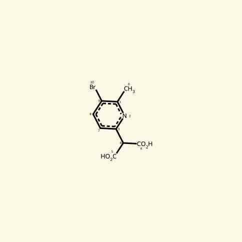 Cc1nc(C(C(=O)O)C(=O)O)ccc1Br